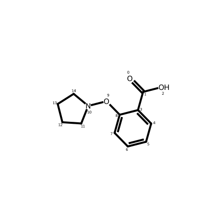 O=C(O)c1ccccc1ON1CCCC1